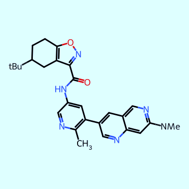 CNc1cc2ncc(-c3cc(NC(=O)c4noc5c4CC(C(C)(C)C)CC5)cnc3C)cc2cn1